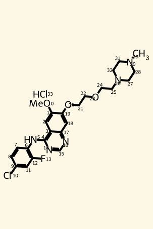 COc1cc2c(Nc3ccc(Cl)cc3F)ncnc2cc1OCCOCCN1CCN(C)CC1.Cl